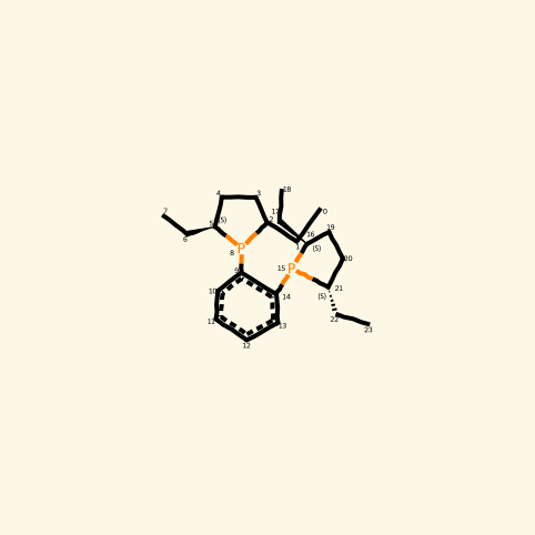 CCC1CC[C@H](CC)P1c1ccccc1P1[C@@H](CC)CC[C@@H]1CC